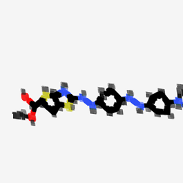 CCCOC(=O)c1cc2sc(N=Nc3ccc(N=Nc4ccc(N(CC)CC)cc4)cc3)nc2s1